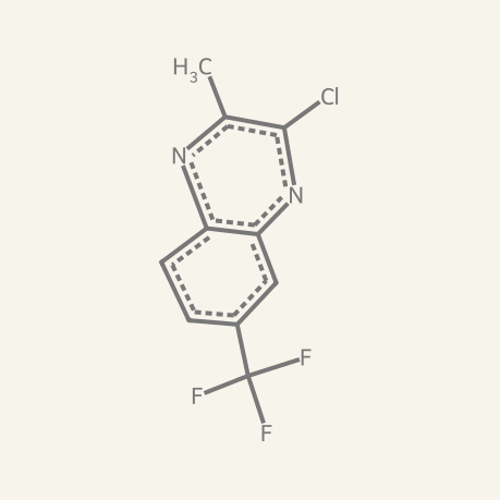 Cc1nc2ccc(C(F)(F)F)cc2nc1Cl